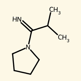 CC(C)C(=N)N1CCCC1